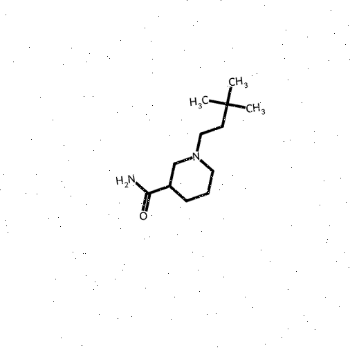 CC(C)(C)CCN1CCCC(C(N)=O)C1